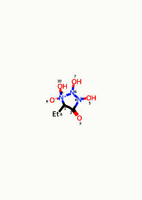 CCC1C(=O)N(O)N(O)[N+]1([O-])O